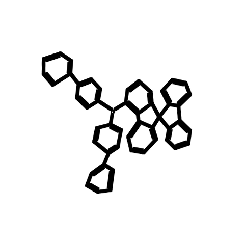 c1ccc(-c2ccc(N(c3ccc(-c4ccccc4)cc3)c3cccc4c3-c3ccccc3C43c4ccccc4-c4ccccc43)cc2)cc1